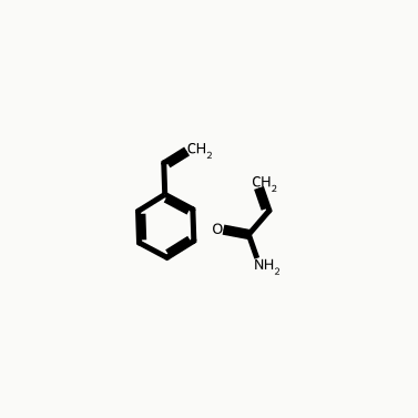 C=CC(N)=O.C=Cc1ccccc1